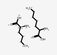 CCCCCC(N)C(=O)O.CCCC[C@H](N)C(=O)O